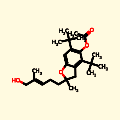 CC(=O)Oc1c(C(C)(C)C)cc2c(c1C(C)(C)C)CC(C)(CC/C=C(\C)CO)O2